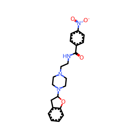 O=C(NCCN1CCN(C2Cc3ccccc3O2)CC1)c1ccc([N+](=O)[O-])cc1